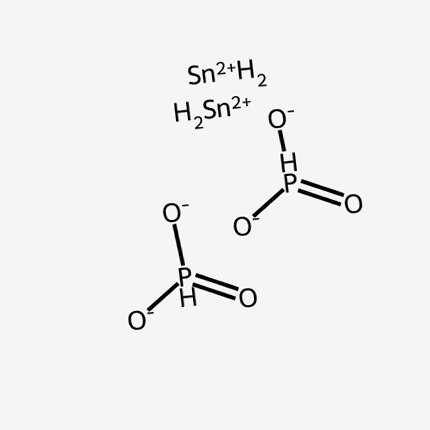 O=[PH]([O-])[O-].O=[PH]([O-])[O-].[SnH2+2].[SnH2+2]